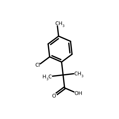 Cc1ccc(C(C)(C)C(=O)O)c(Cl)c1